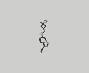 CC1(O)CC(COc2ccc3c(C#N)cnn3c2)C1